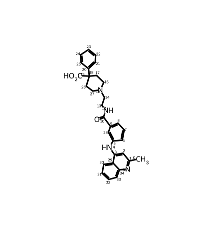 Cc1cc(Nc2cccc(C(=O)NCCN3CCC(C(=O)O)(c4ccccc4)CC3)c2)c2ccccc2n1